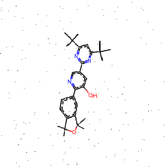 CC(C)(C)c1cc(C(C)(C)C)nc(-c2cnc(-c3ccc4c(c3)C(C)(C)OC4(C)C)c(O)c2)n1